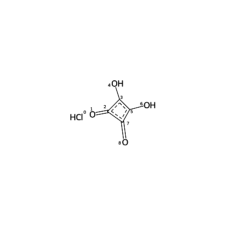 Cl.O=c1c(O)c(O)c1=O